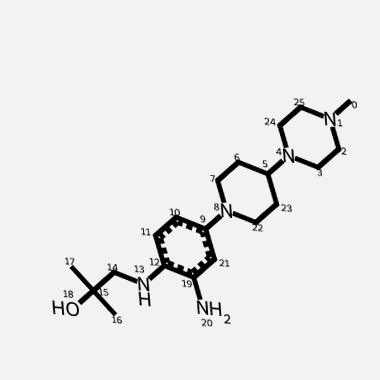 CN1CCN(C2CCN(c3ccc(NCC(C)(C)O)c(N)c3)CC2)CC1